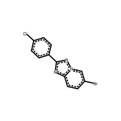 Clc1ccc(-c2nc3ccc(Br)cn3n2)cc1